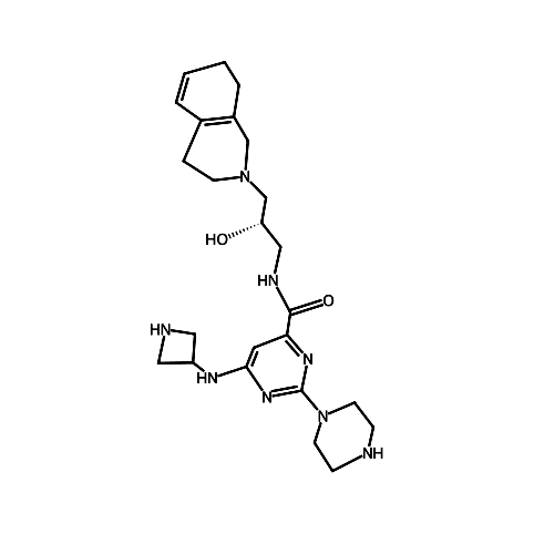 O=C(NC[C@H](O)CN1CCC2=C(CCC=C2)C1)c1cc(NC2CNC2)nc(N2CCNCC2)n1